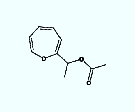 CC(=O)OC(C)C1=CC=CC=CO1